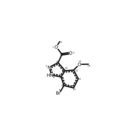 COC(=O)c1n[nH]c2c(Br)ccc(OC)c12